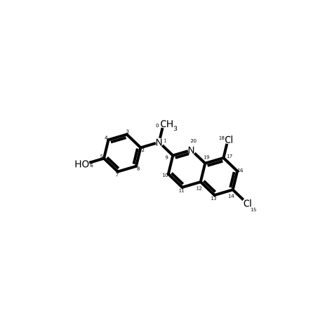 CN(c1ccc(O)cc1)c1ccc2cc(Cl)cc(Cl)c2n1